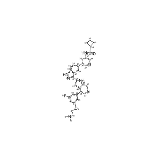 CN(C)CCOc1cc(F)cc(-c2cncc3[nH]c(-c4n[nH]c5ccc(-c6cncc(NC(=O)C7CCC7)c6)cc45)cc23)c1